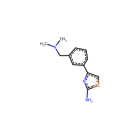 CN(C)Cc1cccc(-c2csc(N)n2)c1